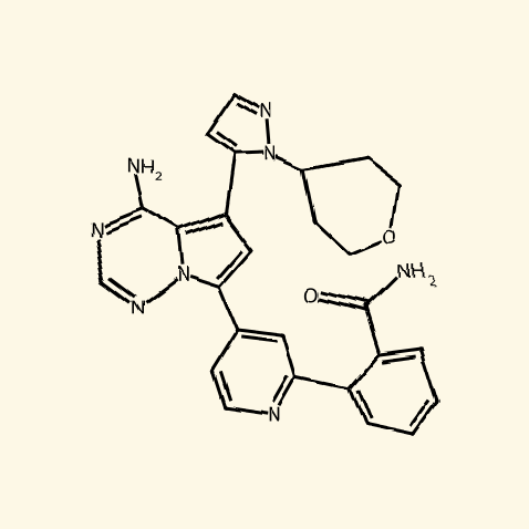 NC(=O)c1ccccc1-c1cc(-c2cc(-c3ccnn3C3CCOCC3)c3c(N)ncnn23)ccn1